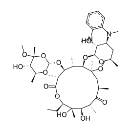 CC[C@H]1OC(=O)[C@H](C)[C@@H](O[C@@H]2O[C@@H](C)[C@H](O)[C@](C)(OC)O2)[C@H](C)[C@@H](O[C@@H]2O[C@H](C)C[C@H](N(C)c3ccccc3N(C)C)[C@H]2O)[C@@](C)(OC)C[C@@H](C)C(=O)[C@H](C)[C@@H](O)[C@]1(C)O